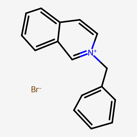 [Br-].c1ccc(C[n+]2ccc3ccccc3c2)cc1